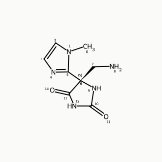 Cn1ccnc1[C@]1(CN)NC(=O)NC1=O